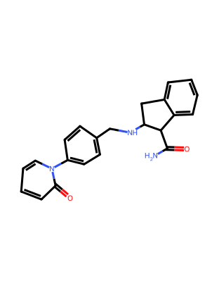 NC(=O)C1c2ccccc2CC1NCc1ccc(-n2ccccc2=O)cc1